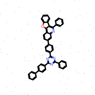 c1ccc(-c2ccc(-c3nc(-c4ccccc4)nc(-c4ccc(-c5ccc6c(c5)nc(-c5ccccc5)c5c7ccccc7oc65)cc4)n3)cc2)cc1